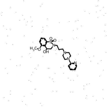 COc1cccc2c1C(O)CN(CCCN1CCN(c3ccccn3)CC1)S2(=O)=O